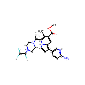 Cc1c(C(=O)OC(C)C)cc2c(-c3ccc(N)nc3)ccn2c1C(C)N1CCN(C(F)C(F)F)CC1